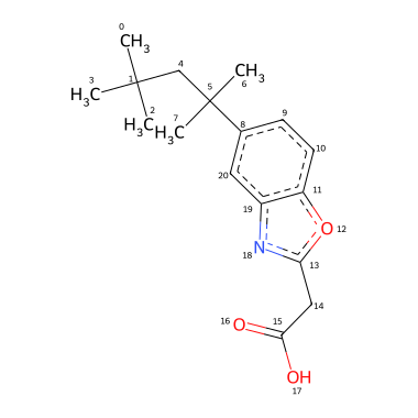 CC(C)(C)CC(C)(C)c1ccc2oc(CC(=O)O)nc2c1